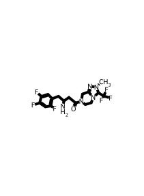 CN1N=C2CN(C(=O)CC(N)Cc3cc(F)c(F)cc3F)CCN2C1C(F)(F)F